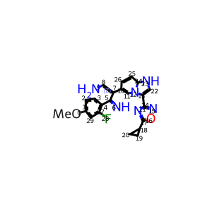 COc1ccc(C(=N)/C(=C\N)C2=CN3C(c4noc(C5CC5)n4)=CNC3C=C2)c(F)c1